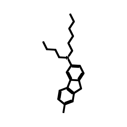 CCCCCCN(CCCC)c1ccc2c(c1)-c1ccc(C)cc1C2